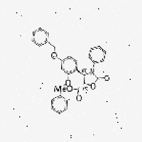 COC(=O)[C@H]1OC(=O)N(c2ccccc2)[C@@H]1c1ccc(OCc2ccccc2)cc1OCc1ccccc1